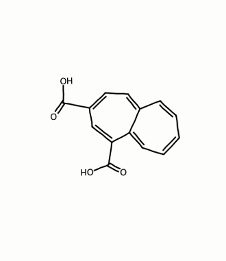 O=C(O)C1=CC=C2C=CC=CC=C2C(C(=O)O)=C1